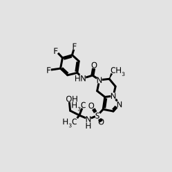 C[C@H]1Cn2ncc(S(=O)(=O)NC(C)(C)CO)c2CN1C(=O)Nc1cc(F)c(F)c(F)c1